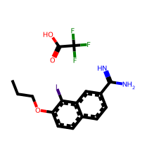 CCCOc1ccc2ccc(C(=N)N)cc2c1I.O=C(O)C(F)(F)F